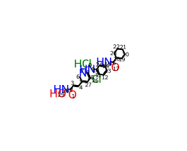 Cl.O=C(/C=C/c1cnc(Nc2cccc(NC(=O)C3CCCCC3)c2)c(Cl)c1)NO